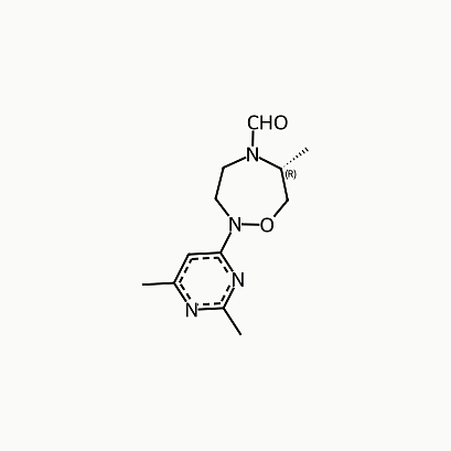 Cc1cc(N2CCN(C=O)[C@H](C)CO2)nc(C)n1